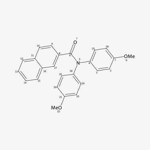 COc1ccc(N(C(=O)c2ccc3ccccc3c2)c2ccc(OC)cc2)cc1